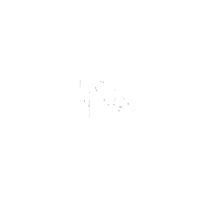 CC(C)(C)OC(=O)NC1CCN(c2ncnc3scc(-c4ccc(Br)cc4)c23)CC1